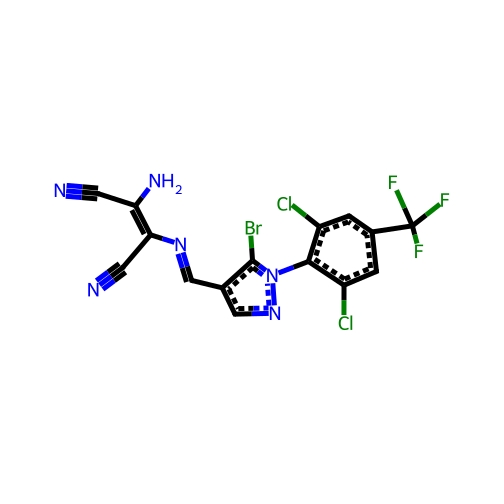 N#CC(N)=C(C#N)N=Cc1cnn(-c2c(Cl)cc(C(F)(F)F)cc2Cl)c1Br